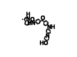 O=C(c1ccc(NC(=O)c2cccc3[c]c[nH]c23)cc1)c1ccc(Nc2ccc(N3CCC(O)CC3)cc2)cc1